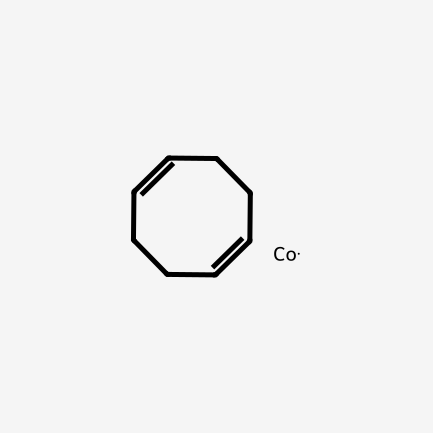 C1=CCCC=CCC1.[Co]